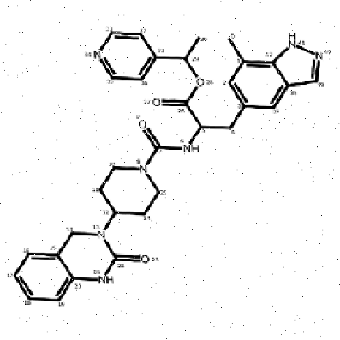 Cc1cc(CC(NC(=O)N2CCC(N3Cc4ccccc4NC3=O)CC2)C(=O)OC(C)c2ccncc2)cc2cn[nH]c12